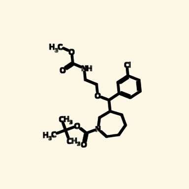 COC(=O)NCCOC(c1cccc(Cl)c1)C1CCCCN(C(=O)OC(C)(C)C)C1